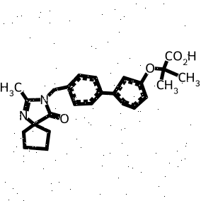 CC1=NC2(CCCC2)C(=O)N1Cc1ccc(-c2cccc(OC(C)(C)C(=O)O)c2)cc1